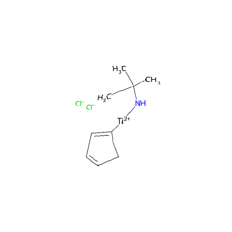 CC(C)(C)[NH][Ti+2][C]1=CC=CC1.[Cl-].[Cl-]